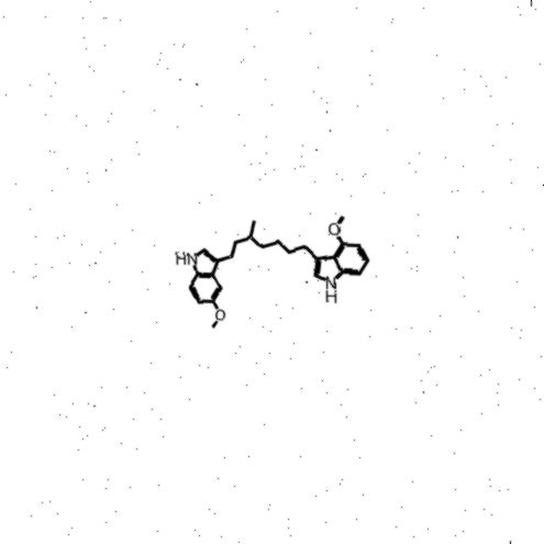 COc1ccc2[nH]cc(CCC(C)CCCCc3c[nH]c4cccc(OC)c34)c2c1